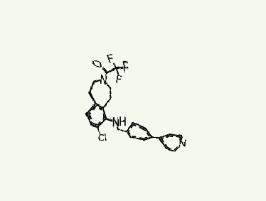 O=C(N1CCc2ccc(Cl)c(NCc3ccc(-c4ccncc4)cc3)c2CC1)C(F)(F)F